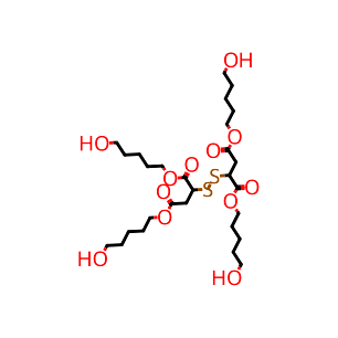 O=C(CC(SSC(CC(=O)OCCCCCO)C(=O)OCCCCCO)C(=O)OCCCCCO)OCCCCCO